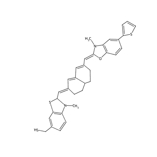 CN1/C(=C/C2=CC3=C/C(=C/C4Sc5cc(CS)ccc5N4C)CCC3CC2)Oc2ccc(-c3cccs3)cc21